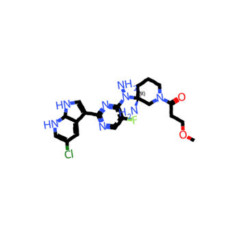 COCCC(=O)N1CCC[C@@](N)(N(N)c2nc(C3=CNC4NC=C(Cl)C=C34)ncc2F)C1